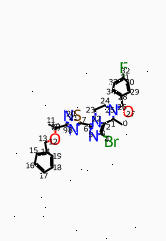 CC1c2c(Br)nc(-c3nc([C@H](C)OCc4ccccc4)ns3)n2CCN1C(=O)c1ccc(F)cc1